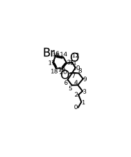 CCCCC1CCC2(CC1)CC(=O)c1cc(Br)ccc1O2